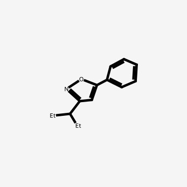 CCC(CC)c1cc(-c2ccccc2)on1